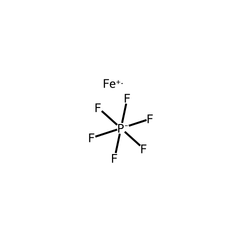 F[P-](F)(F)(F)(F)F.[Fe+]